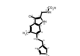 Cc1cc2c(Cl)c(CNC(=O)O)[nH]c2cc1OCc1cscn1